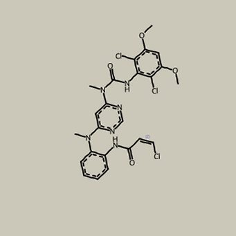 COc1cc(OC)c(Cl)c(NC(=O)N(C)c2cc(N(C)c3ccccc3NC(=O)/C=C\Cl)ncn2)c1Cl